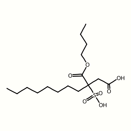 CCCCCCCCC(CC(=O)O)(C(=O)OCCCC)S(=O)(=O)O